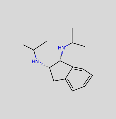 CC(C)N[C@H]1Cc2ccccc2[C@H]1NC(C)C